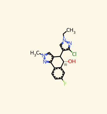 CCn1cc(C2c3cn(C)nc3-c3ccc(F)cc3[C@H]2O)c(Cl)n1